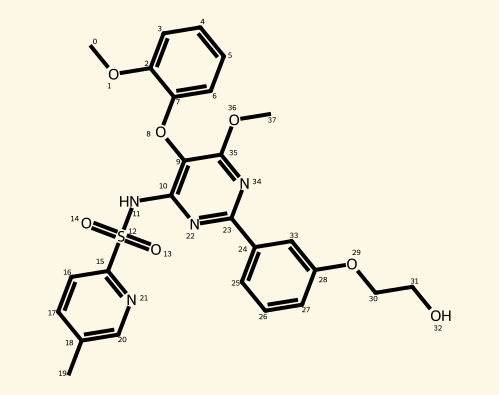 COc1ccccc1Oc1c(NS(=O)(=O)c2ccc(C)cn2)nc(-c2cccc(OCCO)c2)nc1OC